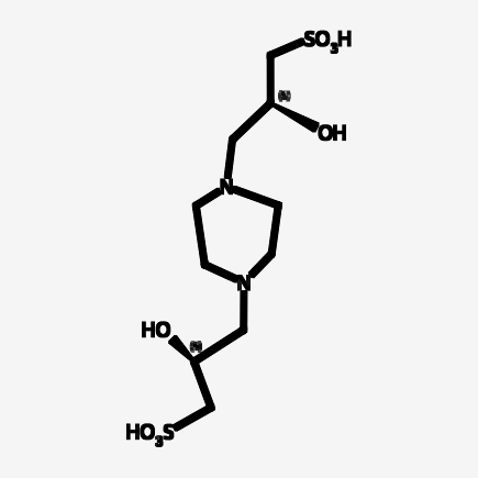 O=S(=O)(O)C[C@@H](O)CN1CCN(C[C@H](O)CS(=O)(=O)O)CC1